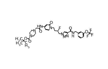 CC(C)(C)OC(=O)N1CCN(CC(=O)Nc2ccn(CCC(F)Cn3cc(C(=O)NCc4cccc(OC(F)(F)F)c4)nn3)c(=O)c2)CC1